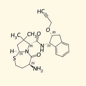 C#CCO[C@@H]1Cc2ccccc2[C@@H]1NC(=O)[C@@H]1N2C(=O)[C@@H](N)CCS[C@H]2CC1(C)C